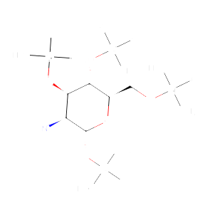 C[Si](C)(C)OC[C@H]1O[C@H](O[Si](C)(C)C)[C@@H](N)[C@@H](O[Si](C)(C)C)[C@@H]1O[Si](C)(C)C